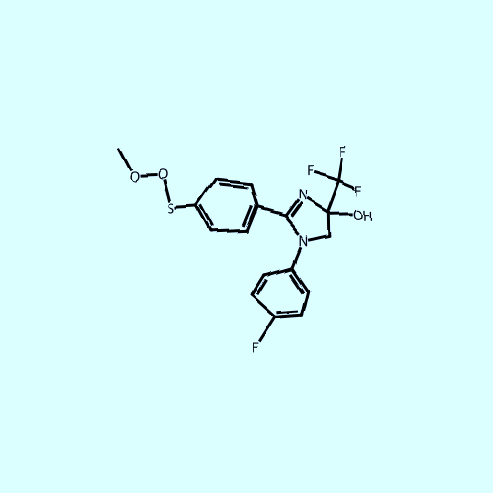 COOSc1ccc(C2=NC(O)(C(F)(F)F)CN2c2ccc(F)cc2)cc1